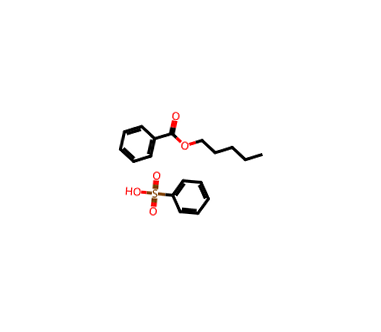 CCCCCOC(=O)c1ccccc1.O=S(=O)(O)c1ccccc1